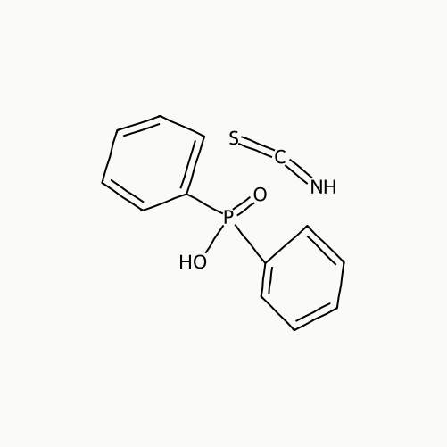 N=C=S.O=P(O)(c1ccccc1)c1ccccc1